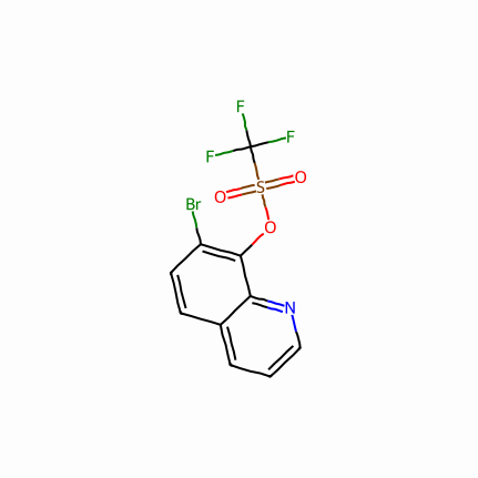 O=S(=O)(Oc1c(Br)ccc2cccnc12)C(F)(F)F